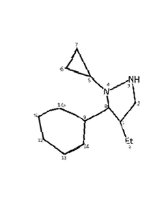 CCC1CNN(C2CC2)C1C1CCCCC1